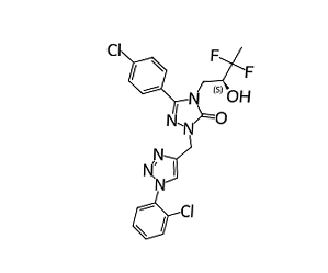 CC(F)(F)[C@@H](O)Cn1c(-c2ccc(Cl)cc2)nn(Cc2cn(-c3ccccc3Cl)nn2)c1=O